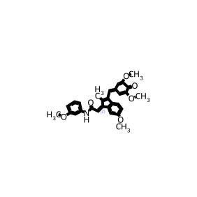 COC1=CC(=CC2=C(C)/C(=C\C(=O)Nc3cccc(OC)c3)c3cc(OC)ccc32)C=C(OC)C1=O